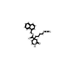 [N-]=[N+]=NCCCCC1(C(=O)OCc2cccc3ccccc23)CCNC(=O)C1